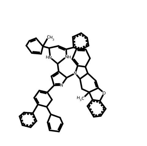 CC12CC3C(C=C1Oc1ccccc12)C1CC=CC=C1N3C1N=C(C2=CC=C(c3ccccc3)C(C3C=CC=CC3)C2)C=C1C1NC(c2ccccc2)=CC(C2(C)C=CCC=C2)N1